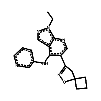 CCn1ncc2c(Nc3cccnc3)c(C3=NOC4(CCC4)C3)cnc21